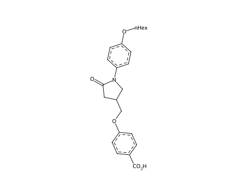 CCCCCCOc1ccc(N2CC(COc3ccc(C(=O)O)cc3)CC2=O)cc1